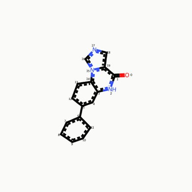 O=c1[nH]c2cc(-c3ccccc3)ccc2n2cncc12